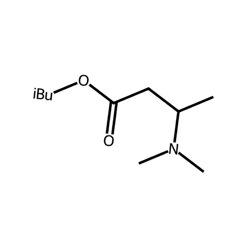 CCC(C)OC(=O)CC(C)N(C)C